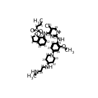 CCCS(=O)(=O)N1CCc2cccc(Nc3nc(Nc4ccc(N5CCC(NCCNC)CC5)cc4OC)ncc3Cl)c21